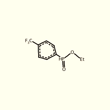 CCO[PH](=O)c1ccc(C(F)(F)F)cc1